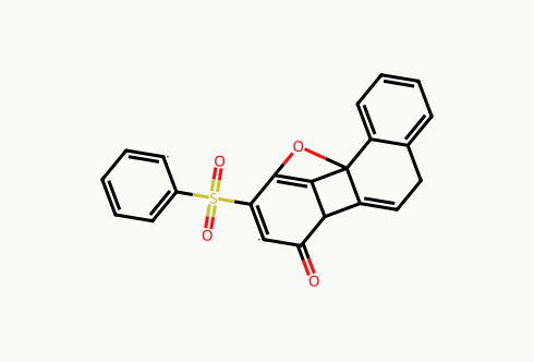 O=C1[C]=C(S(=O)(=O)c2[c]cccc2)C2=C3C1C1=CCc4ccccc4C13O2